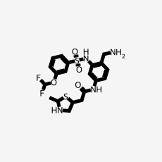 CC1NCC(CC(=O)Nc2ccc(CN)c(NS(=O)(=O)c3cccc(OC(F)F)c3)c2)S1